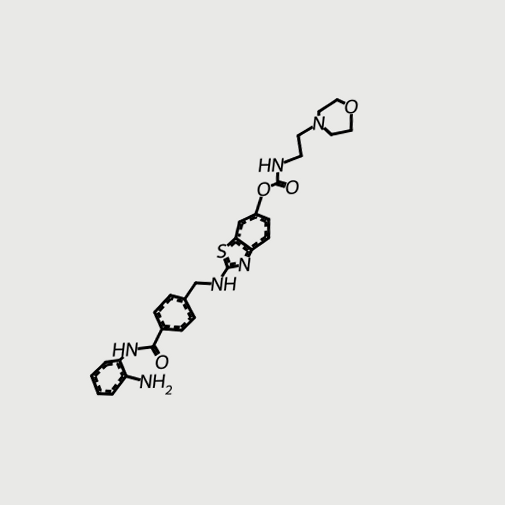 Nc1ccccc1NC(=O)c1ccc(CNc2nc3ccc(OC(=O)NCCN4CCOCC4)cc3s2)cc1